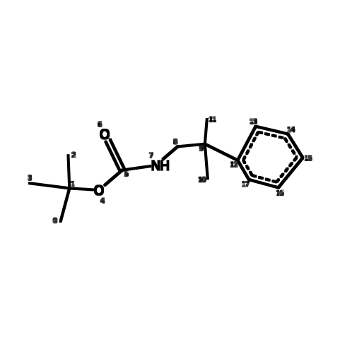 CC(C)(C)OC(=O)NCC(C)(C)c1ccccc1